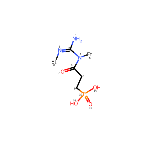 CCN=C(N)N(CC)C(=O)CCP(=O)(O)O